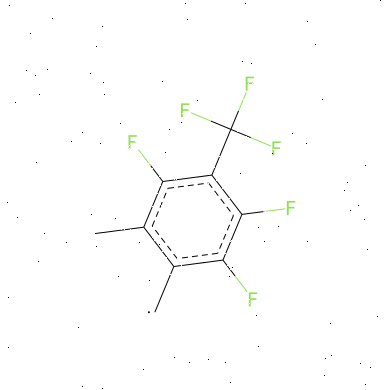 [CH2]c1c(C)c(F)c(C(F)(F)F)c(F)c1F